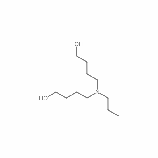 CCCN(CCCCO)CCCCO